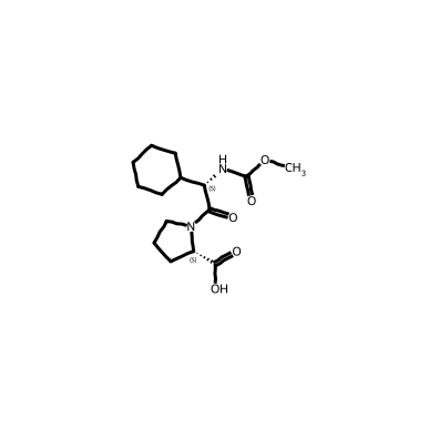 COC(=O)N[C@H](C(=O)N1CCC[C@H]1C(=O)O)C1CCCCC1